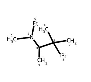 CCN(C)C(C)C(C)(C)C(C)C